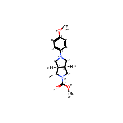 C[C@@H]1[C@H]2CN(c3ccc(OC(F)(F)F)cc3)C[C@H]2CN1C(=O)OC(C)(C)C